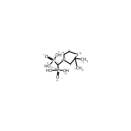 CC1(C)CN(C(P(=O)(O)O)P(=O)(O)O)CCS1